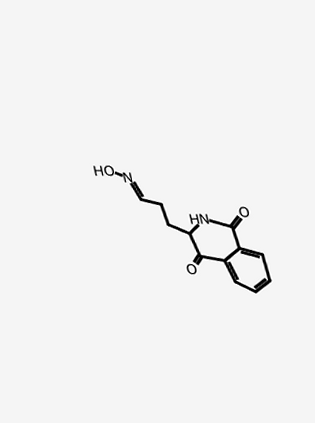 O=C1NC(CCC=NO)C(=O)c2ccccc21